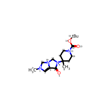 CN1C=C2C(=O)N(C3(C)CCN(C(=O)OC(C)(C)C)CC3)CN2C1